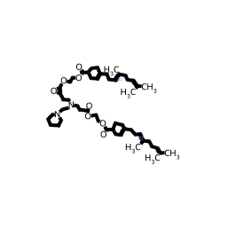 CC(C)=CCC/C(C)=C/CCC1=CCC(C(=O)OCCOC(=O)CCN(CCC2OC2OCCOC(=O)C2CC=C(CC/C=C(\C)CCC=C(C)C)CC2)CCN2CCCCC2)CC1